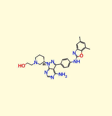 Cc1cc(C)c2oc(Nc3ccc(-c4nn([C@@H]5CCCN(CCO)C5)c5ncnc(N)c45)cc3)nc2c1